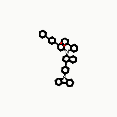 c1ccc(-c2ccc(-c3ccc(N(c4ccccc4-c4ccccc4)c4ccc(-c5ccc(-n6c7ccccc7c7ccccc76)cc5)c5ccccc45)cc3)cc2)cc1